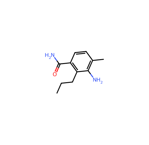 CCCc1c(C(N)=O)ccc(C)c1N